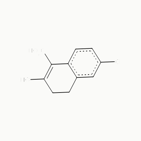 O=C(O)C1=C(O)CCc2cc(Cl)ccc21